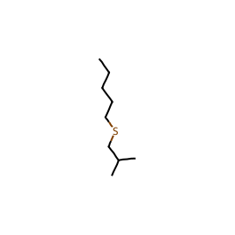 CCCCCSCC(C)C